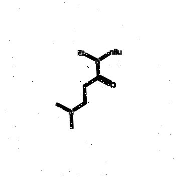 CCCCN(CC)C(=O)CCN(C)C